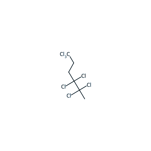 CC(Cl)(Cl)C(Cl)(Cl)CCC(Cl)(Cl)Cl